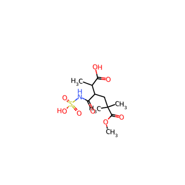 COC(=O)C(C)(C)CC(C(=O)NS(=O)(=O)O)C(C)C(=O)O